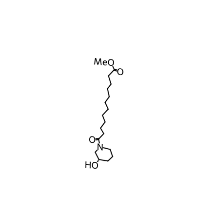 COC(=O)CCCCCCCCCCC(=O)N1CCC[C@@H](O)C1